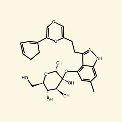 Cc1cc(O[C@]2(O)[C@@H](O)O[C@H](CO)[C@@H](O)[C@@H]2O)c2c(CCC3=COC=C(C4=CC=CCC4)O3)n[nH]c2c1